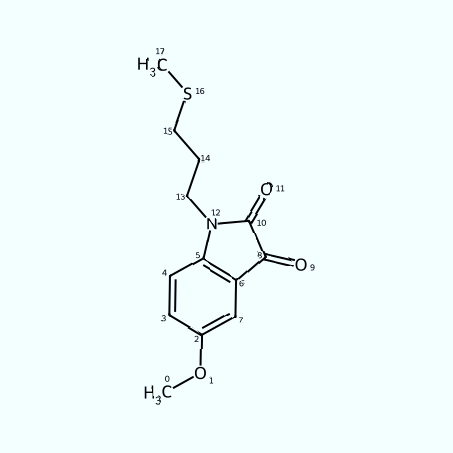 COc1ccc2c(c1)C(=O)C(=O)N2CCCSC